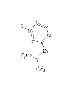 Cc1[c]cnc(OC(C(F)(F)F)C(F)(F)F)c1